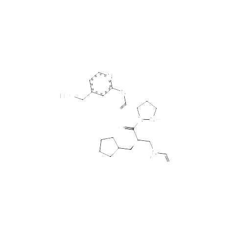 CCc1ccnc(NC(=O)[C@@H]2CCNN2C(=O)[C@H](CC2CCCC2)CN(O)C=O)c1